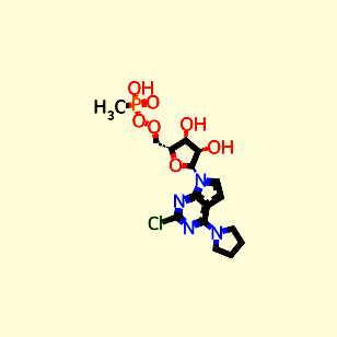 CP(=O)(O)OOC[C@H]1O[C@@H](n2ccc3c(N4CCCC4)nc(Cl)nc32)[C@H](O)[C@@H]1O